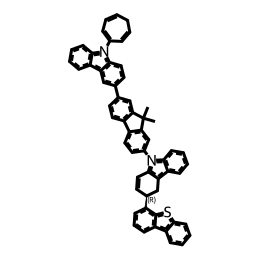 CC1(C)c2cc(-c3ccc4c(c3)c3ccccc3n4C3=CC=CCC=C3)ccc2-c2ccc(-n3c4c(c5ccccc53)C[C@@H](c3cccc5c3sc3ccccc35)C=C4)cc21